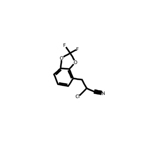 N#CC(Cl)Cc1cccc2c1OC(F)(F)O2